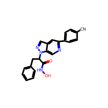 N#Cc1ccc(-c2cc3cnn(C(Cc4ccccc4)C(=O)NO)c3cn2)cc1